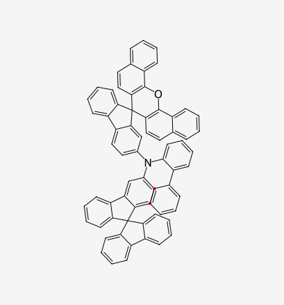 c1ccc(-c2ccccc2N(c2ccc3c(c2)-c2ccccc2C32c3ccccc3-c3ccccc32)c2ccc3c(c2)C2(c4ccccc4-3)c3ccc4ccccc4c3Oc3c2ccc2ccccc32)cc1